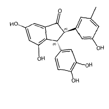 Cc1cc(O)cc([C@@H]2C(=O)c3cc(O)cc(O)c3[C@H]2c2ccc(O)c(O)c2)c1